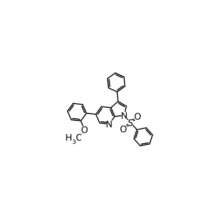 COc1ccccc1-c1cnc2c(c1)c(-c1ccccc1)cn2S(=O)(=O)c1ccccc1